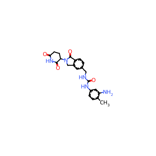 Cc1ccc(NC(=O)NCc2ccc3c(c2)CN(C2CCC(=O)NC2=O)C3=O)cc1N